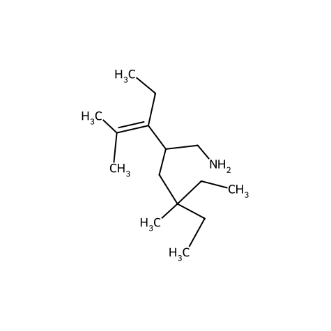 CCC(=C(C)C)C(CN)CC(C)(CC)CC